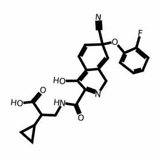 N#CC1(Oc2ccccc2F)C=CC2=C(O)C(C(=O)NCC(C(=O)O)C3CC3)=NCC2=C1